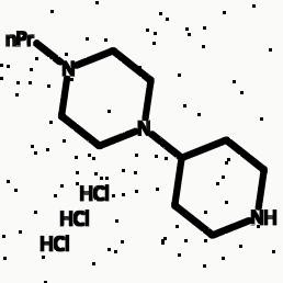 CCCN1CCN(C2CCNCC2)CC1.Cl.Cl.Cl